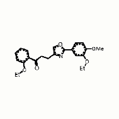 CCOc1cc(-c2nc(CCC(=O)c3ccccc3OCC)co2)ccc1OC